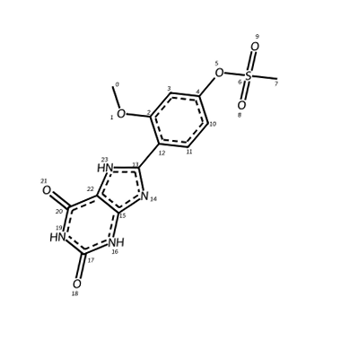 COc1cc(OS(C)(=O)=O)ccc1-c1nc2[nH]c(=O)[nH]c(=O)c2[nH]1